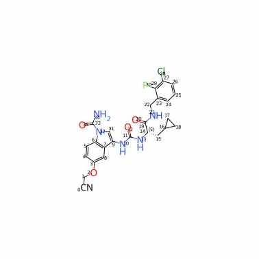 N#CCOc1ccc2c(c1)c(NC(=O)N[C@@H](CC1CC1)C(=O)NCc1cccc(Cl)c1F)cn2C(N)=O